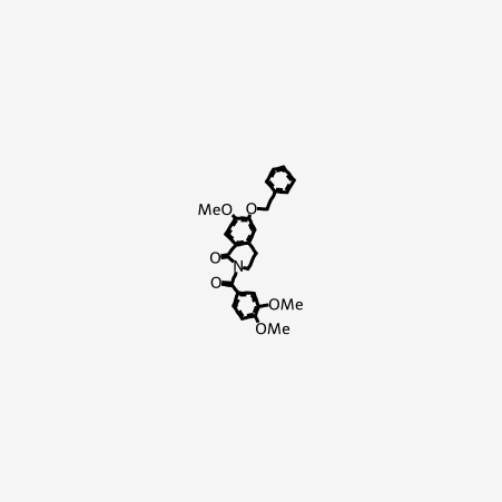 COc1ccc(C(=O)N2CCc3cc(OCc4ccccc4)c(OC)cc3C2=O)cc1OC